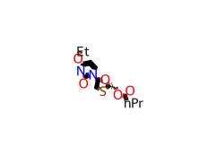 CCCC(=O)OC[C@H]1O[C@@H](n2ccc(OCC)nc2=O)CS1